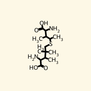 CC(SCC(C)(C)C(C)C(N)C(=O)O)C(C)C(N)C(=O)O